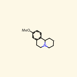 COc1ccc2c(c1)CCN1CC[CH]CC21